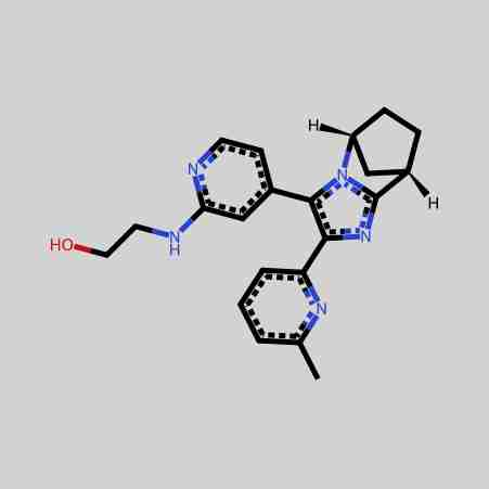 Cc1cccc(-c2nc3n(c2-c2ccnc(NCCO)c2)[C@@H]2CC[C@H]3C2)n1